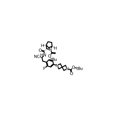 C=C(OC(C)(C)C)N1[C@@H]2CC[C@@H](C2)[C@H]1C(=O)N[C@H](C#N)Cc1ccc(N2CC3(CN(C(=O)OC(C)(C)C)C3)C2)cc1F